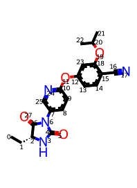 CC[C@H]1NC(=O)N(c2ccc(Oc3ccc(C#N)c(OC(C)C)c3)nc2)C1=O